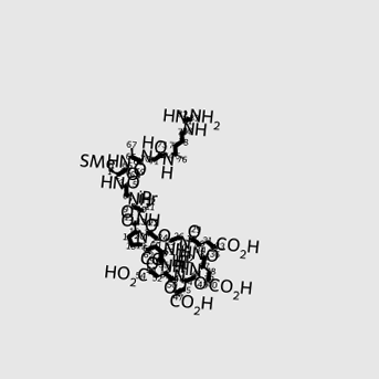 CSC[C@H](NC(=O)CNC(=O)[C@H](CC(C)C)NC(=O)[C@@H]1CCCN1C(=O)COCCNC(=O)[C@@H](CCC(=O)O)NC(=O)[C@@H](CCC(=O)O)NC(=O)[C@@H](CCC(=O)O)NC(=O)[C@@H](CCC(=O)O)NC(=O)[C@H](N)CCC(=O)O)C(=O)N[C@@H](C)C(=O)NCC(=O)N[C@@H](C)CCCNC(=N)N